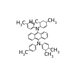 Cc1ccc(N(C2=CC(C)C(C)C=C2)c2c3ccccc3c(N(c3ccc(C)cc3)C3C=CC(C)CC3C)c3ccccc23)cc1